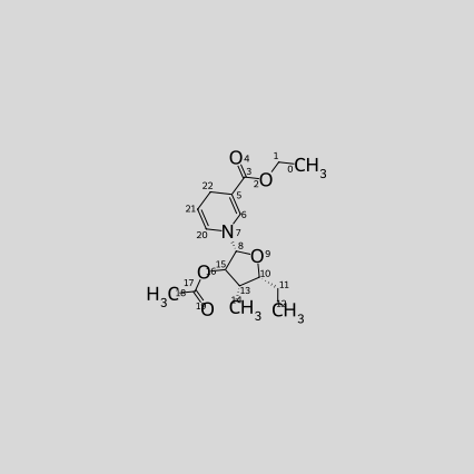 CCOC(=O)C1=CN([C@@H]2O[C@H](CC)[C@H](C)C2OC(C)=O)C=CC1